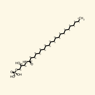 CCCCCCCCCCCCCCCCCCCCCC(=O)NCC(O)COP(=O)(O)O